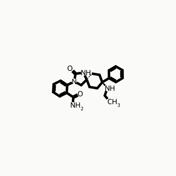 CCN[C@]1(c2ccccc2)CC[C@]2(CC1)CN(c1ccccc1C(N)=O)C(=O)N2